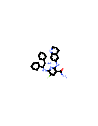 NC(=O)c1cc(F)c(N[C@@H](c2ccccc2)[C@@H](N)c2ccccc2)nc1Nc1ccc2ncccc2c1